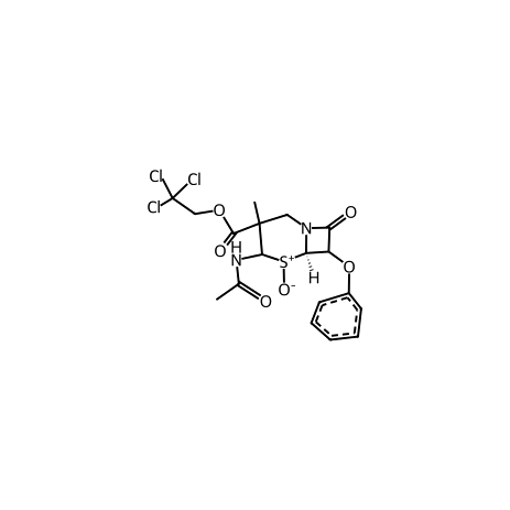 CC(=O)NC1[S+]([O-])[C@@H]2C(Oc3ccccc3)C(=O)N2CC1(C)C(=O)OCC(Cl)(Cl)Cl